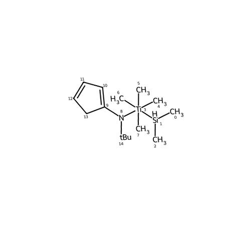 C[SiH](C)[Ti]([CH3])([CH3])([CH3])([CH3])[N](C1=CC=CC1)C(C)(C)C